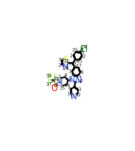 [O-][S+](N1CCC(n2c(-c3ccncc3)nc3ccc(C(c4ccc(Cl)cc4)c4nccs4)cc32)CC1)C(F)(F)F